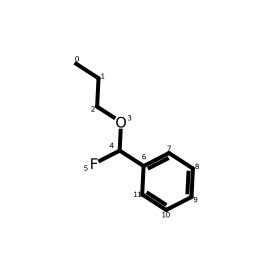 CCCOC(F)c1ccccc1